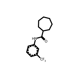 O=C(Nc1cccc(C(F)(F)F)c1)C1CCCCCC1